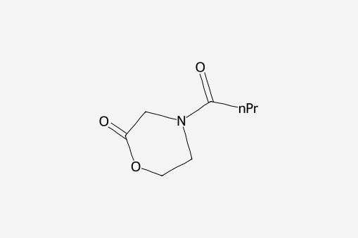 CCCC(=O)N1CCOC(=O)C1